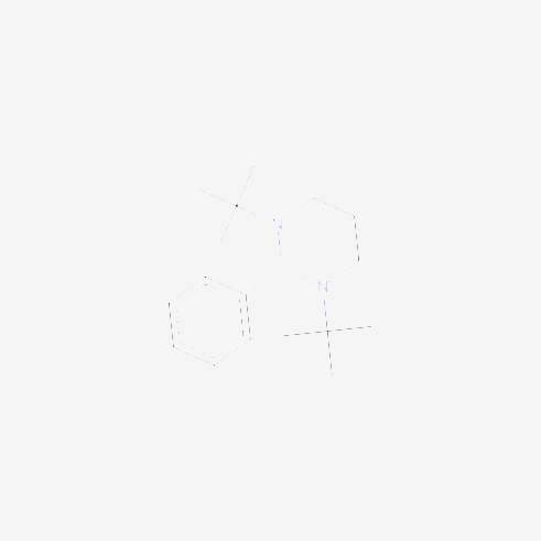 CC(C)(C)N1CCCN(C(C)(C)C)B1c1ccccc1